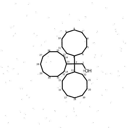 OCC(C1CCCCCCCCC1)(C1CCCCCCCCC1)C1CCCCCCCCC1